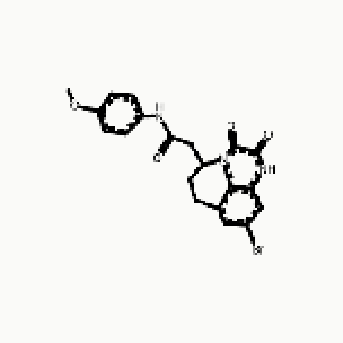 COc1ccc(NC(=O)CC2CCc3cc(Br)cc4[nH]c(=O)c(=O)n2c34)cc1